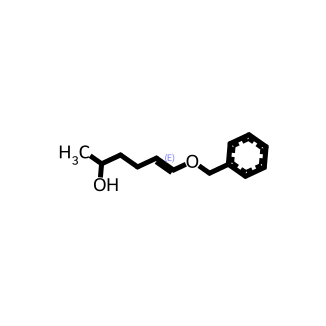 CC(O)CC/C=C/OCc1ccccc1